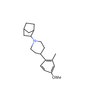 COc1ccc(C2CCN(C3CC4CCC3C4)CC2)c(C)c1